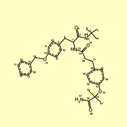 CC(C)(C)NC(=O)C(Cc1ccc(OCc2ccccc2)cc1)NC(=O)[CH]Cc1ccc(OC(C)(C)C(N)=O)cc1